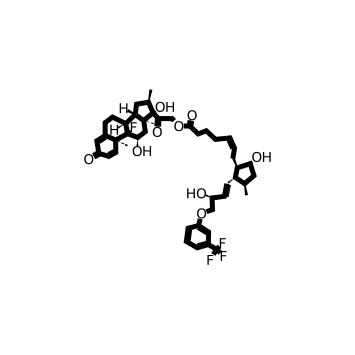 C[C@@H]1C[C@H](O)[C@H](C/C=C\CCCC(=O)OCC(=O)[C@@]2(O)[C@H](C)C[C@H]3[C@@H]4CCC5=CC(=O)C=C[C@]5(C)[C@@]4(F)[C@@H](O)C[C@@]32C)[C@H]1/C=C/[C@@H](O)COc1cccc(C(F)(F)F)c1